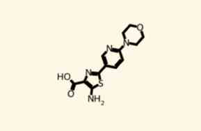 Nc1sc(-c2ccc(N3CCOCC3)nc2)nc1C(=O)O